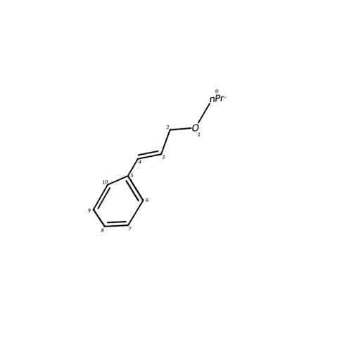 CC[CH]OC/C=C/c1ccccc1